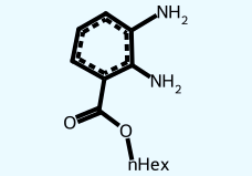 CCCCCCOC(=O)c1cccc(N)c1N